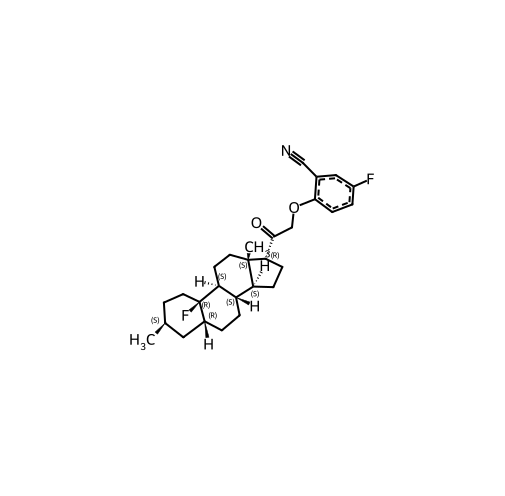 C[C@H]1CC[C@@]2(F)[C@H](CC[C@H]3[C@@H]4CC[C@@H](C(=O)COc5ccc(F)cc5C#N)[C@@]4(C)CC[C@@H]32)C1